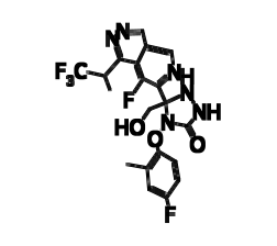 Cc1cc(F)ccc1ON1C(=O)NNC1(CO)c1ncc2cnnc(C(C)C(F)(F)F)c2c1F